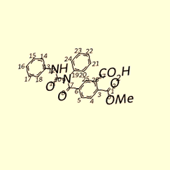 COC(=O)c1ccc(C(=O)N(C(=O)Nc2ccccc2)c2ccccc2)cc1C(=O)O